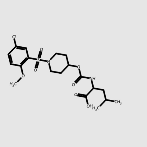 COc1ccc(Cl)cc1S(=O)(=O)N1CCC(OC(=O)NC(CC(C)C)C(=O)O)CC1